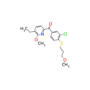 CCc1ccc(C(=O)c2ccc(SCCCOC)c(Cl)c2)nc1OC